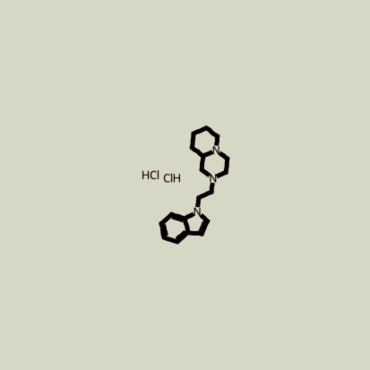 Cl.Cl.c1ccc2c(c1)ccn2CCN1CCN2CCCCC2C1